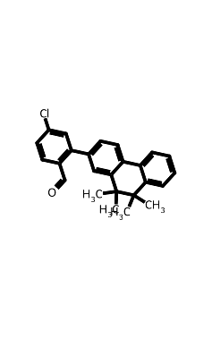 CC1(C)c2ccccc2-c2ccc(-c3cc(Cl)ccc3C=O)cc2C1(C)C